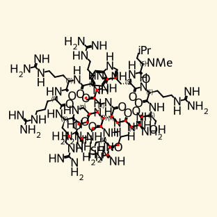 CN[C@@H](CC(C)C)C(=O)N[C@@H](Cc1c[nH]c2ccccc12)C(=O)N[C@@H](CCCNC(=N)N)C(=O)N[C@@H](CO)C(=O)N[C@H](CCCNC(=N)N)C(=O)N[C@H](CCCNC(=N)N)C(=O)N[C@H](CCCNC(=N)N)C(=O)N[C@H](CCCNC(=N)N)C(=O)N[C@H](CCCNC(=N)N)C(=O)N[C@H](CCCNC(=N)N)C(=O)N[C@H](CCCNC(=N)N)C(=O)N[C@H](CCCNC(=N)N)C(=O)N[C@H](CCCNC(=N)N)C(=O)N[C@H](CS)C(N)=O